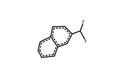 FC(F)c1ccc2cc[c]cc2c1